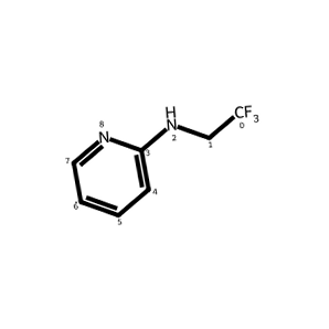 FC(F)(F)CNc1cc[c]cn1